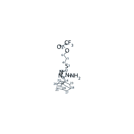 Nn1c(SCCCOC(=O)C(F)(F)F)nnc1C12CC3CC(CC(C3)C1)C2